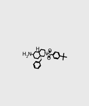 CC(C)(C)c1ccc(S(=O)(=O)N2CC[C@H]3C[C@H](N)CC[C@]3(Cc3ccccc3)C2)cc1